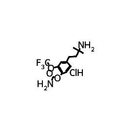 CC(C)(N)CCc1ccc(OC(N)=O)c(OC(F)(F)F)c1.Cl